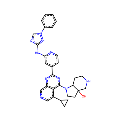 OC12CCN(c3nc(-c4ccnc(Nc5ncn(-c6ccccc6)n5)c4)nc4cncc(C5CC5)c34)C1CCNC2